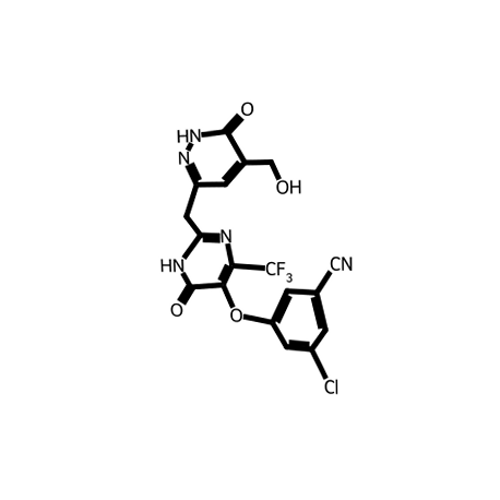 N#Cc1cc(Cl)cc(Oc2c(C(F)(F)F)nc(Cc3cc(CO)c(=O)[nH]n3)[nH]c2=O)c1